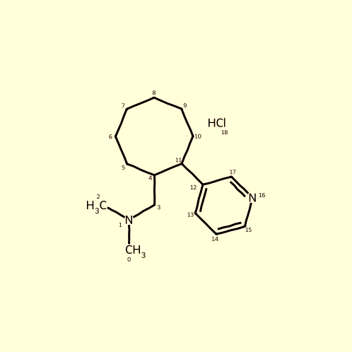 CN(C)CC1CCCCCCC1c1cccnc1.Cl